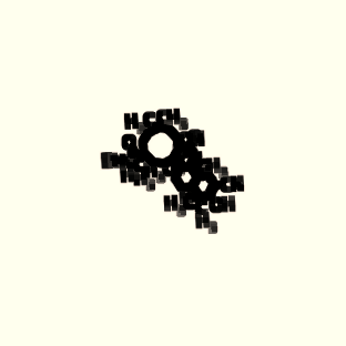 CCNC(=O)[C@@]1(C)CCC(C)(C)CC[C@@]2(O)C(=O)C=C3[C@@]4(C)CC(C#N)=C(O)C(C)(C)[C@@H]4CC[C@@]3(C)[C@]2(C)CC1